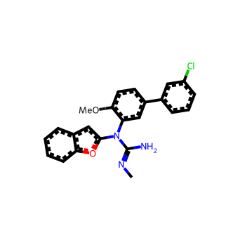 CN=C(N)N(c1cc2ccccc2o1)c1cc(-c2cccc(Cl)c2)ccc1OC